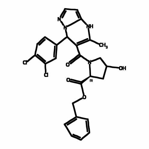 CC1=C(C(=O)N2CC(O)C[C@H]2C(=O)OCc2ccccc2)C(c2ccc(Cl)c(Cl)c2)n2nccc2N1